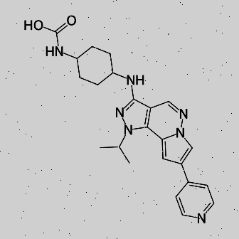 CC(C)n1nc(NC2CCC(NC(=O)O)CC2)c2cnn3cc(-c4ccncc4)cc3c21